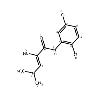 CN(C)C=C(C#N)C(=O)Nc1cc(Cl)ccc1Cl